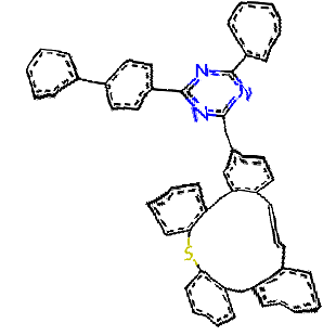 C1=C\c2ccc(-c3nc(-c4ccccc4)nc(-c4ccc(-c5ccccc5)cc4)n3)cc2-c2ccccc2Sc2ccccc2-c2ccccc2/1